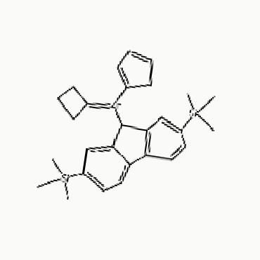 C[Si](C)(C)c1ccc2c(c1)[CH]([Zr]([C]1=CC=CC1)=[C]1CCC1)c1cc([Si](C)(C)C)ccc1-2